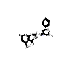 CCCCc1cc(=O)oc2nc(O/N=C3/C[C@@H](I)O[C@H](c4ccccc4)C3)[nH]c(=O)c12